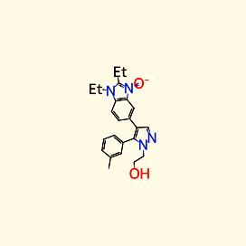 CCc1n(CC)c2ccc(-c3cnn(CCO)c3-c3cccc(C)c3)cc2[n+]1[O-]